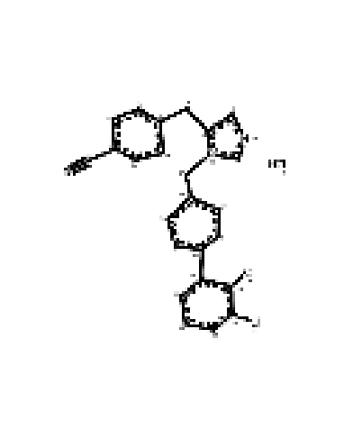 Cl.N#Cc1ccc(Cc2cncn2Cc2ccc(-c3cccc(Cl)c3Cl)cc2)cc1